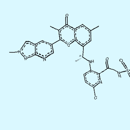 Cc1cc([C@@H](C)Nc2ccc(Cl)nc2C(=O)NS(C)(=O)=O)c2oc(-c3cnc4nn(C)cc4c3)c(C)c(=O)c2c1